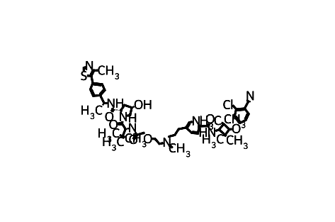 Cc1ncsc1-c1ccc([C@H](C)NC(=O)[C@@H]2C[C@@H](O)CN2C(=O)[C@@H](NC(=O)COCCN(C)CCCc2ccc(C(=O)NC3C(C)(C)C(Oc4ccc(C#N)c(Cl)c4)C3(C)C)nc2)C(C)(C)C)cc1